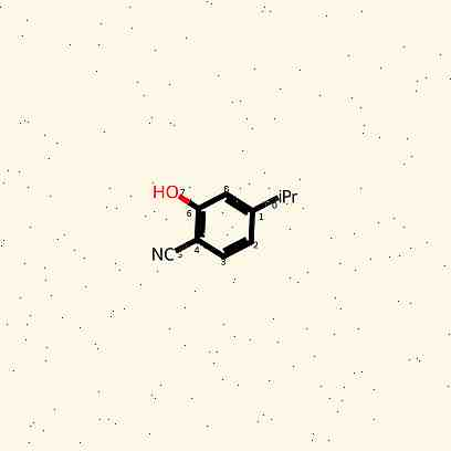 CC(C)c1ccc(C#N)c(O)c1